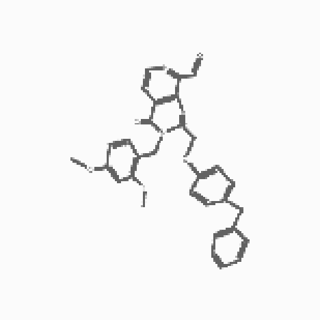 COc1ccc(Cn2c(COc3ccc(Cc4ccccc4)cc3)nc3c(C=O)nccc3c2=O)c(OC)c1